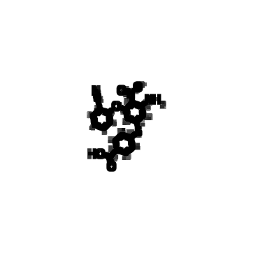 N#Cc1ccccc1Oc1cc(Sc2ccc(C(=O)O)cc2)cc(N)c1[N+](=O)[O-]